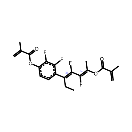 C=C(C)C(=O)O/C(C)=C(F)/C(F)=C(\CC)c1ccc(OC(=O)C(=C)C)c(F)c1F